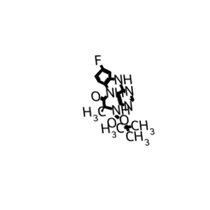 C[C@H](NC(=O)OC(C)(C)C)C(=O)Nc1ccc(F)cc1Nc1ccncn1